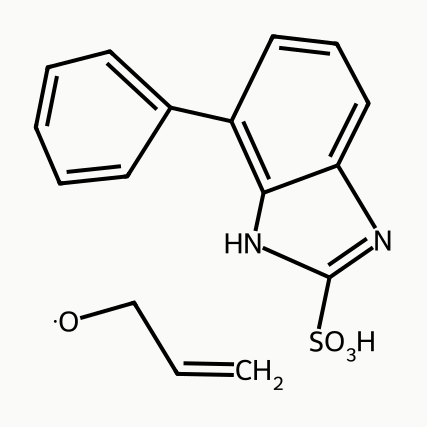 C=CC[O].O=S(=O)(O)c1nc2cccc(-c3ccccc3)c2[nH]1